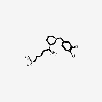 NC(CCCCB(O)O)[C@H]1CCCN(Cc2ccc(Cl)c(Cl)c2)C1